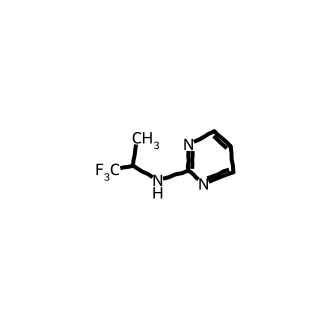 CC(Nc1ncccn1)C(F)(F)F